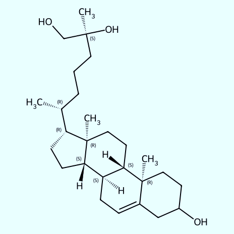 C[C@H](CCC[C@](C)(O)CO)[C@H]1CC[C@H]2[C@@H]3CC=C4CC(O)CC[C@]4(C)[C@H]3CC[C@]12C